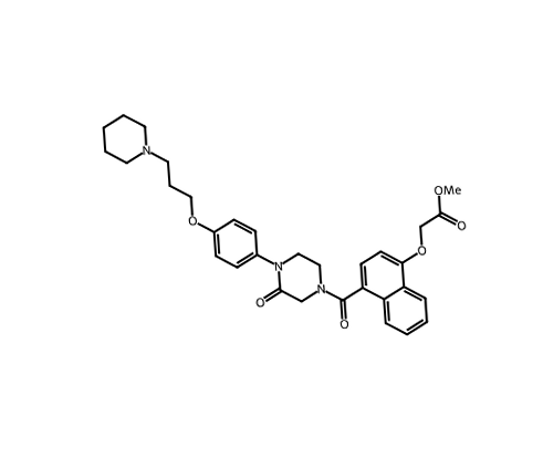 COC(=O)COc1ccc(C(=O)N2CCN(c3ccc(OCCCN4CCCCC4)cc3)C(=O)C2)c2ccccc12